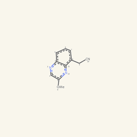 COc1cnc2cccc(CC#N)c2n1